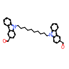 O=Cc1ccc2c(c1)c1ccccc1n2CCCCCCCCCCn1c2ccccc2c2cc(C=O)ccc21